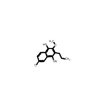 CCCc1c(OC)c(O)c2ccc(Cl)cc2c1O